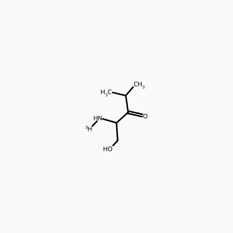 [3H]NC(CO)C(=O)C(C)C